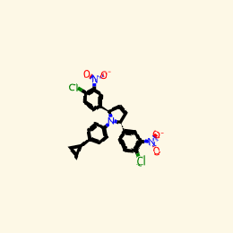 O=[N+]([O-])c1cc([C@H]2CC[C@H](c3ccc(Cl)c([N+](=O)[O-])c3)N2c2ccc(C3CC3)cc2)ccc1Cl